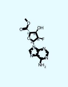 COC(=O)[C@H]1O[C@@H](n2cnc3c(N)ncnc32)[C@H](F)[C@@H]1O